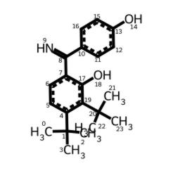 CC(C)(C)c1ccc(C(=N)c2ccc(O)cc2)c(O)c1C(C)(C)C